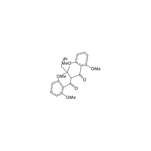 [CH2]C(C)CC(C)(C)C(C(=O)c1c(OC)cccc1OC)C(=O)c1c(OC)cccc1OC